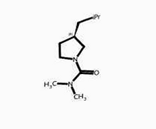 CC(C)C[C@@H]1CCN(C(=O)N(C)C)C1